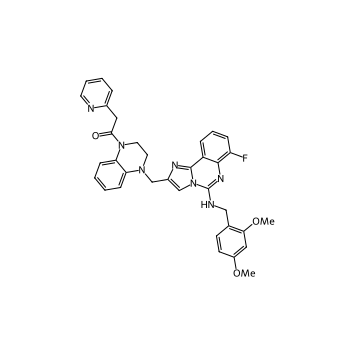 COc1ccc(CNc2nc3c(F)cccc3c3nc(CN4CCN(C(=O)Cc5ccccn5)c5ccccc54)cn23)c(OC)c1